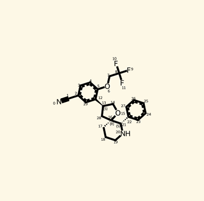 N#Cc1ccc(OCC(F)(F)F)c([C@H]2CO[C@]3(CCCN[C@H]3c3ccccc3)C2)c1